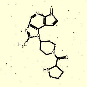 Cc1nc2cnc3[nH]ccc3c2n1C1CCN(C(=O)C2CCCN2)CC1